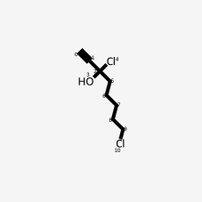 C#CC(O)(Cl)CCCCCCl